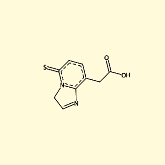 O=C(O)Cc1ccc(=S)n2c1N=CC2